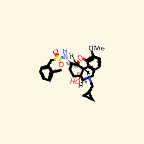 COc1ccc2c3c1O[C@H]1[C@@H](NS(=O)(=O)Cc4ccccc4C)CC[C@@]4(O)[C@@H](C2)N(CC2CC2)CC[C@]314